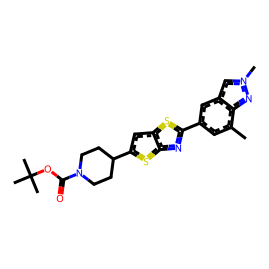 Cc1cc(-c2nc3sc(C4CCN(C(=O)OC(C)(C)C)CC4)cc3s2)cc2cn(C)nc12